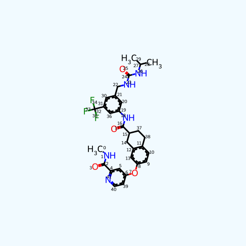 CNC(=O)c1cc(Oc2ccc3c(c2)CC(C(=O)Nc2cc(CNC(=O)NC(C)C)cc(C(F)(F)F)c2)CC3)ccn1